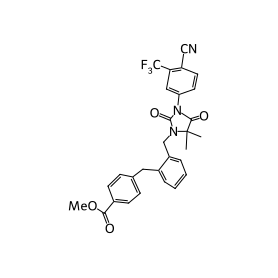 COC(=O)c1ccc(Cc2ccccc2CN2C(=O)N(c3ccc(C#N)c(C(F)(F)F)c3)C(=O)C2(C)C)cc1